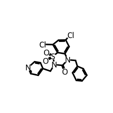 O=C1N(Cc2ccccc2)c2cc(Cl)cc(Cl)c2S(=O)(=O)N1Cc1ccncc1